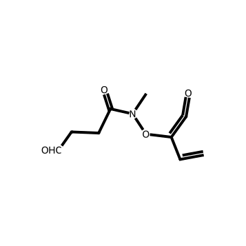 C=CC(=C=O)ON(C)C(=O)CCC=O